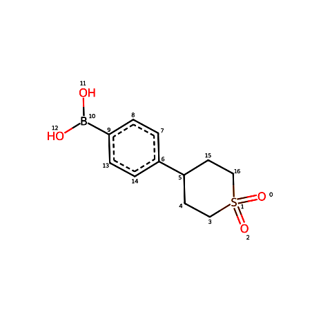 O=S1(=O)CCC(c2ccc(B(O)O)cc2)CC1